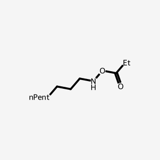 CCCCCCCCNOC(=O)CC